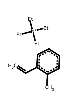 C=Cc1ccccc1C.CC[N+](CC)(CC)CC